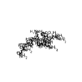 CC(NC(=O)C(CCCN=C(N)N)NC(=O)C(CC(N)=O)NC(=O)C1CCCN1C(=O)C(CCCN=C(N)N)NC(=O)C(CO)NC(=O)C1CCCN1C(=O)C(NC(=O)C(N)CCC(N)=O)C(C)C)C(=O)N1CCCC1C(=O)O